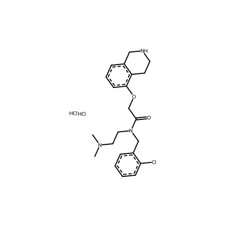 CN(C)CCN(Cc1ccccc1Cl)C(=O)COc1cccc2c1CCNC2.Cl.Cl